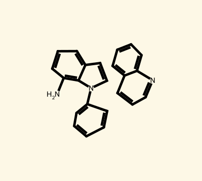 Nc1cccc2ccn(-c3ccccc3)c12.c1ccc2ncccc2c1